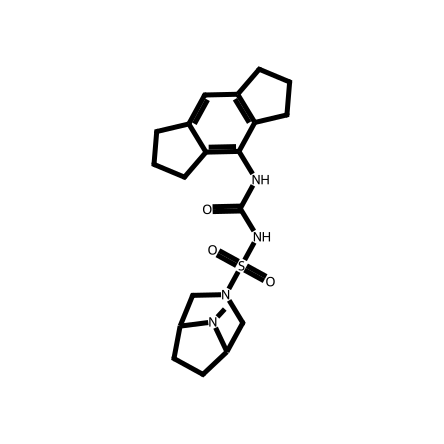 CN1C2CCC1CN(S(=O)(=O)NC(=O)Nc1c3c(cc4c1CCC4)CCC3)C2